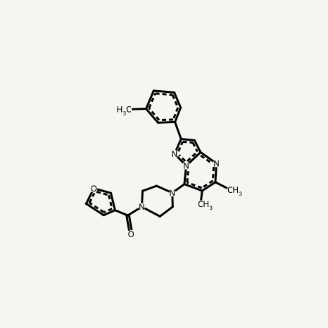 Cc1cccc(-c2cc3nc(C)c(C)c(N4CCN(C(=O)c5ccoc5)CC4)n3n2)c1